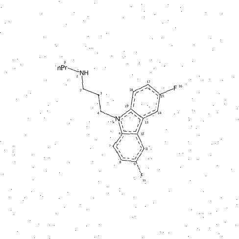 CCCNCCCn1c2ccc(F)cc2c2cc(F)ccc21